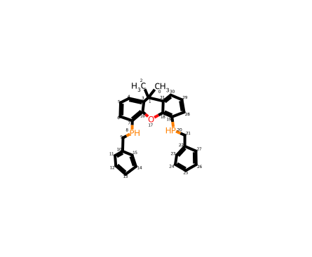 CC1(C)c2cccc(PCc3ccccc3)c2Oc2c(PCc3ccccc3)cccc21